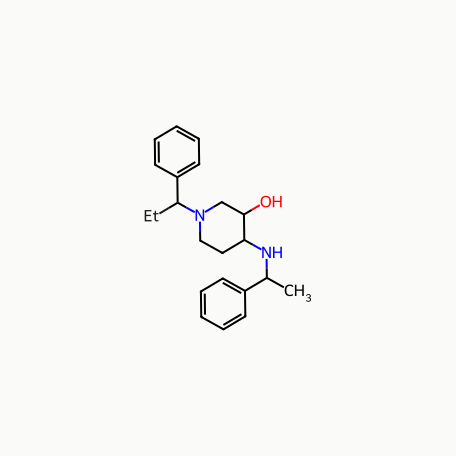 CCC(c1ccccc1)N1CCC(NC(C)c2ccccc2)C(O)C1